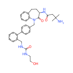 CC(C)(N)CC(=O)N[C@@H]1CCc2ccccc2N(Cc2ccc(-c3ccccc3CNC(=O)NCCO)cc2)C1=O